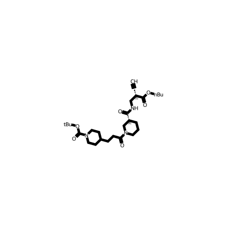 C#C[C@@H](CNC(=O)[C@@H]1CCCN(C(=O)CCC2CCN(C(=O)OC(C)(C)C)CC2)C1)C(=O)OCCCC